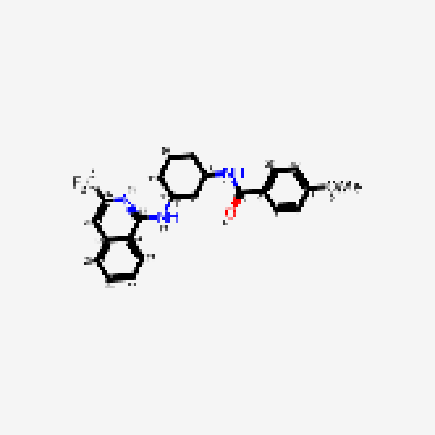 COc1ccc(C(=O)NC2CCC[C@H](Nc3nc(C(F)(F)F)cc4ccccc34)C2)cc1